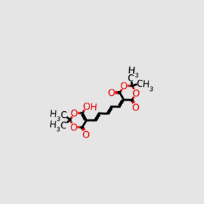 CC1(C)OC(=O)C(=C/C=C/C=C/C2=C(O)OC(C)(C)OC2=O)C(=O)O1